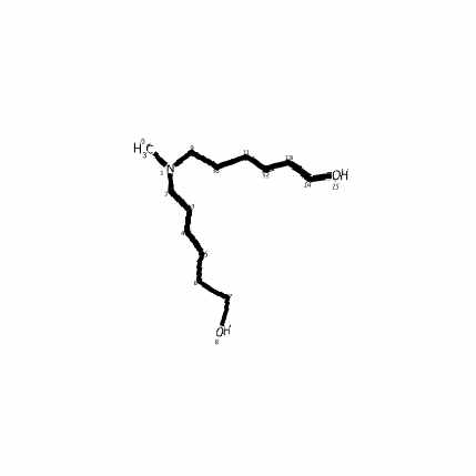 CN(CCCCCCO)CCCCCCO